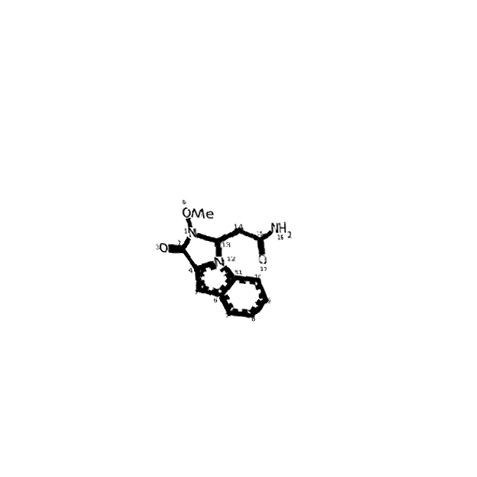 CON1C(=O)c2cc3ccccc3n2C1CC(N)=O